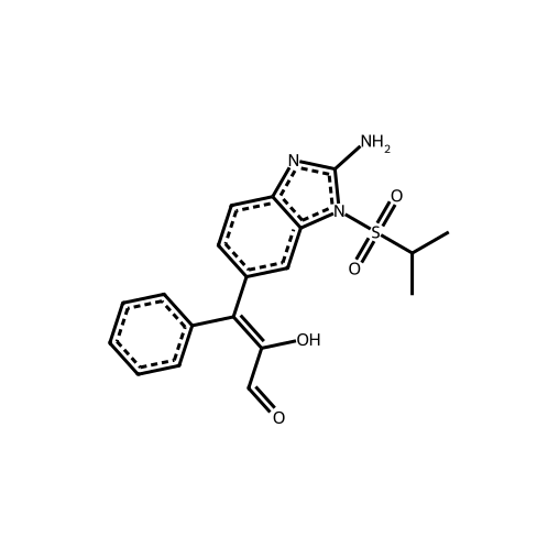 CC(C)S(=O)(=O)n1c(N)nc2ccc(C(=C(O)C=O)c3ccccc3)cc21